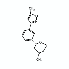 Cc1nc(-c2cccc([C@H]3CN(C)CCO3)c2)no1